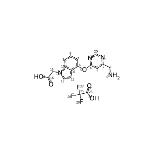 NCc1cc(Oc2cccc3c2ccn3CC(=O)O)ncn1.O=C(O)C(F)(F)F